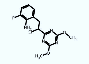 COc1nc(OC)nc(C(Cl)Cc2cccc(F)c2N)n1